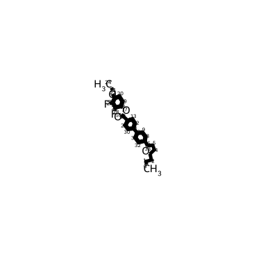 CCCC1CCC(c2ccc(-c3ccc(C(=O)Oc4ccc(OCC)c(F)c4F)cc3)cc2)O1